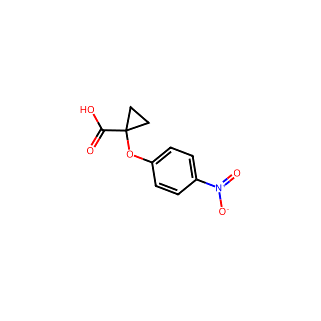 O=C(O)C1(Oc2ccc([N+](=O)[O-])cc2)CC1